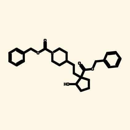 O=C(OCc1ccccc1)N1CCC(CCC2(C(=O)OCc3ccccc3)CCCC2O)CC1